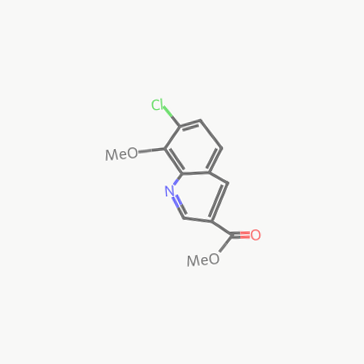 COC(=O)c1cnc2c(OC)c(Cl)ccc2c1